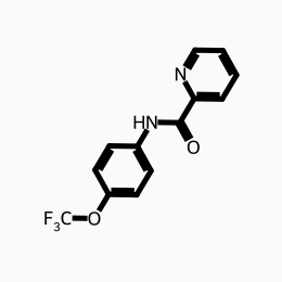 O=C(Nc1ccc(OC(F)(F)F)cc1)c1ccccn1